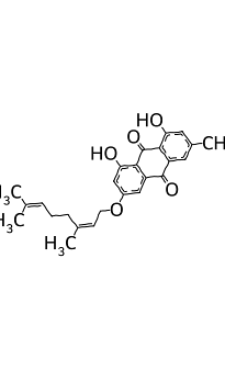 CC(C)=CCCC(C)=CCOc1cc(O)c2c(c1)C(=O)c1cc(C)cc(O)c1C2=O